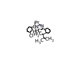 C=C(C)C(=C)c1ccccc1C(=C)/N=C(\NCc1cccc(Cl)c1)C(C)C